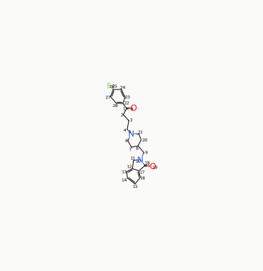 O=C(CCCN1CCC(CN2Cc3ccccc3C2=O)CC1)c1ccc(F)cc1